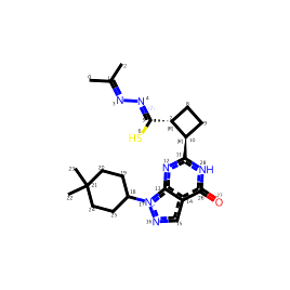 CC(C)=N/N=C(\S)[C@@H]1CC[C@H]1c1nc2c(cnn2C2CCC(C)(C)CC2)c(=O)[nH]1